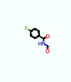 O=[C]NC(=O)c1ccc(F)cc1